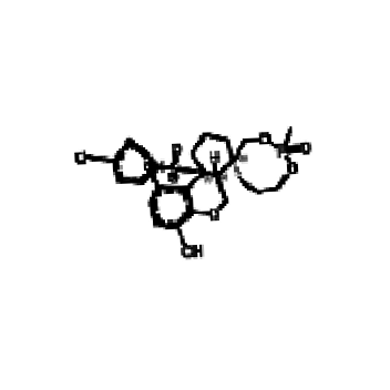 CP1(=O)OCCC[C@]2(CCC[C@@]3(S(=O)(=O)c4ccc(Cl)cc4)c4c(O)ccc(O)c4OC[C@@H]23)CO1